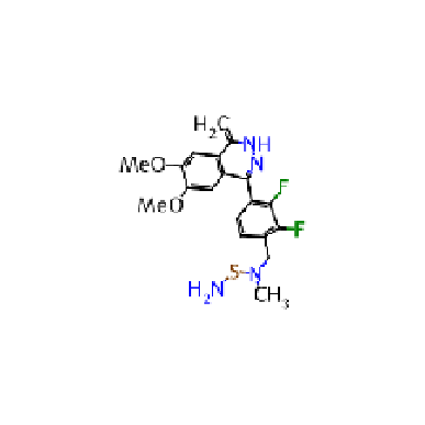 C=C1NN=C(c2ccc(CN(C)SN)c(F)c2F)c2cc(OC)c(OC)cc21